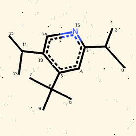 CC(C)c1cc(C(C)(C)C)c(C(C)C)cn1